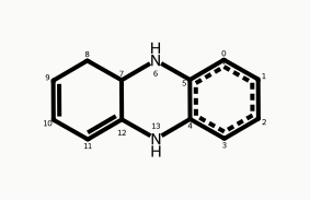 [c]1cccc2c1NC1CC=CC=C1N2